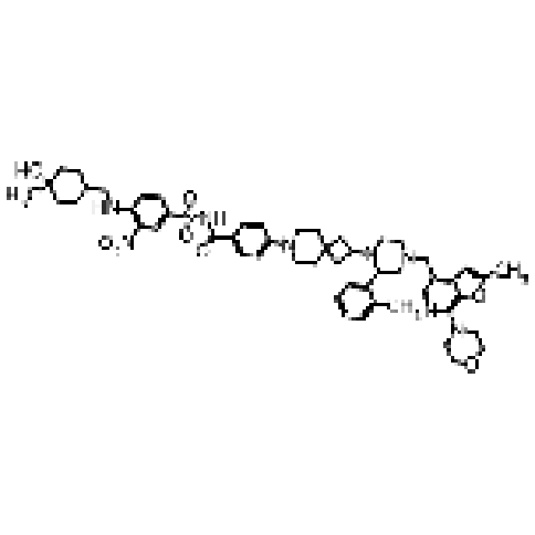 Cc1cc2c(CN3CCN(C4CC5(CCN(c6ccc(C(=O)NS(=O)(=O)c7ccc(NCC8CCC(C)(O)CC8)c([N+](=O)[O-])c7)cc6)CC5)C4)[C@H](c4ccccc4C)C3)cnc(N3CCOCC3)c2o1